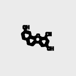 N#Cc1cc(O)cc2c1oc1c3cc(O)ccc3ccc21